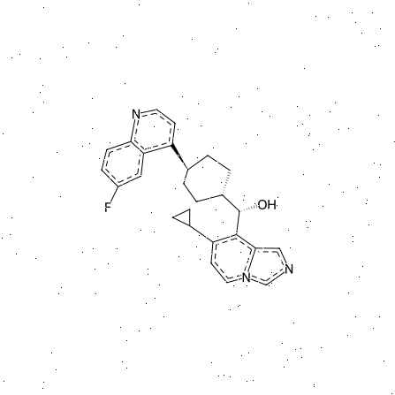 O[C@H](c1c(C2CC2)ccn2cncc12)[C@H]1CC[C@H](c2ccnc3ccc(F)cc32)CC1